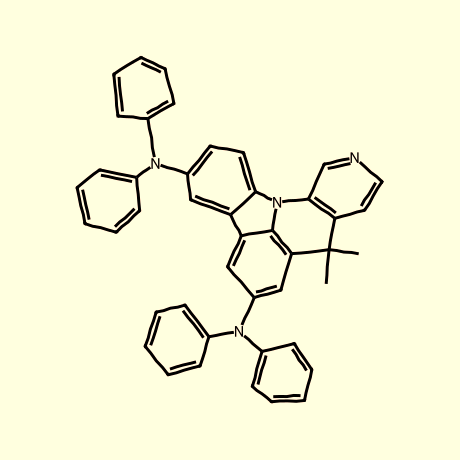 CC1(C)c2ccncc2-n2c3ccc(N(c4ccccc4)c4ccccc4)cc3c3cc(N(c4ccccc4)c4ccccc4)cc1c32